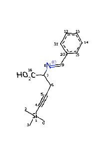 C[Si](C)(C)C#CCC(/N=C/c1ccccc1)C(=O)O